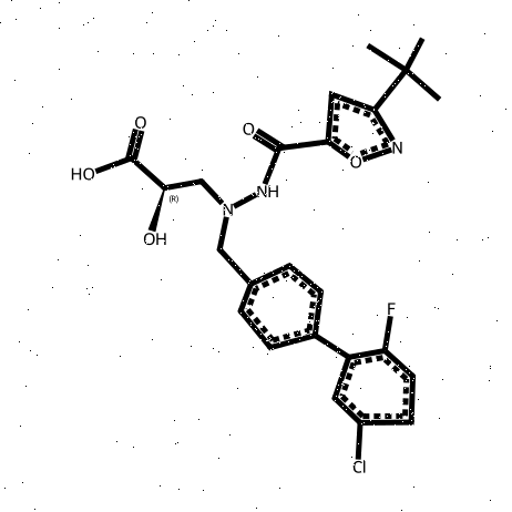 CC(C)(C)c1cc(C(=O)NN(Cc2ccc(-c3cc(Cl)ccc3F)cc2)C[C@@H](O)C(=O)O)on1